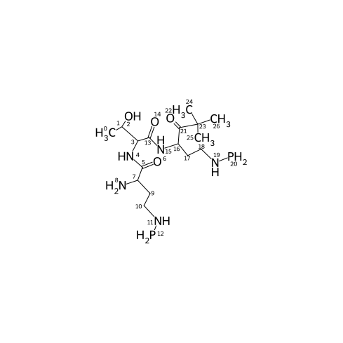 CC(O)C(NC(=O)C(N)CCNP)C(=O)NC(CCNP)C(=O)C(C)(C)C